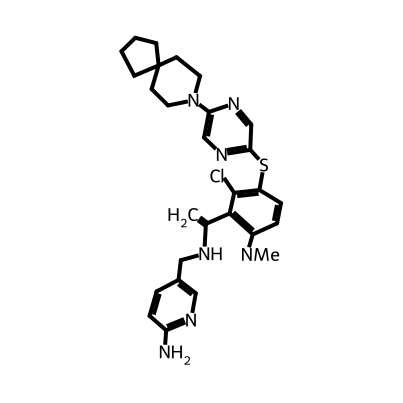 C=C(NCc1ccc(N)nc1)c1c(NC)ccc(Sc2cnc(N3CCC4(CCCC4)CC3)cn2)c1Cl